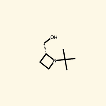 CC(C)(C)N1CC[C@@H]1CO